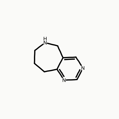 c1ncc2c(n1)CCCNC2